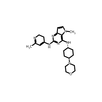 CC1=NCCC(Nc2nc(N[C@H]3CC[C@H](N4CCOCC4)CC3)c3c(ccn3C)n2)=C1